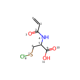 C=CC(=O)NC(CSCl)C(=O)O